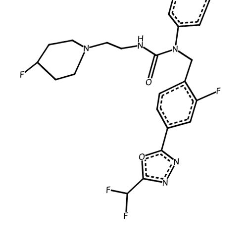 O=C(NCCN1CCC(F)CC1)N(Cc1ccc(-c2nnc(C(F)F)o2)cc1F)c1ccccc1